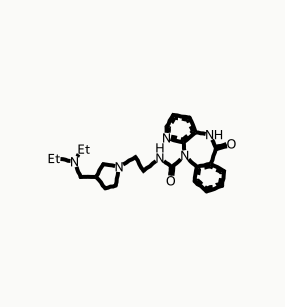 CCN(CC)CC1CCN(CCNC(=O)N2c3ccccc3C(=O)Nc3cccnc32)C1